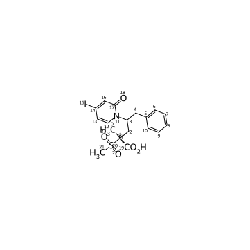 C[C@@](CC(Cc1ccccc1)n1ccc(I)cc1=O)(C(=O)O)S(C)(=O)=O